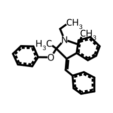 CCN(CC)C(C)(Oc1ccccc1)C(=Cc1ccccc1)c1ccccc1